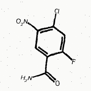 NC(=O)c1cc([N+](=O)[O-])c(Cl)cc1F